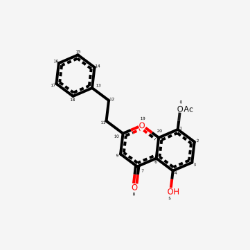 CC(=O)Oc1ccc(O)c2c(=O)cc(CCc3ccccc3)oc12